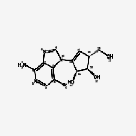 Nc1ncc(Br)c2c1ncn2C1=C[C@H](CO)[C@@H](O)[C@H]1O